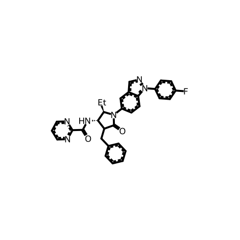 CC[C@@H]1[C@@H](NC(=O)c2ncccn2)C(Cc2ccccc2)C(=O)N1c1ccc2c(cnn2-c2ccc(F)cc2)c1